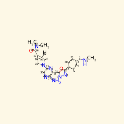 CNCc1ccc(-c2nnc(-c3nc(N4CC5C(C(=O)N(C)C)[C@@H]5C4)cnc3N)o2)cc1